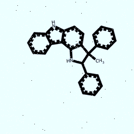 CC1(c2ccccc2)c2ccc3[nH]c4ccccc4c3c2NC1c1ccccc1